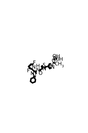 CC(OP(O)O)n1cc(-c2nc(C(=O)Nc3cn(C4CCCCC4)nc3-c3nc(F)ccc3F)cs2)cn1